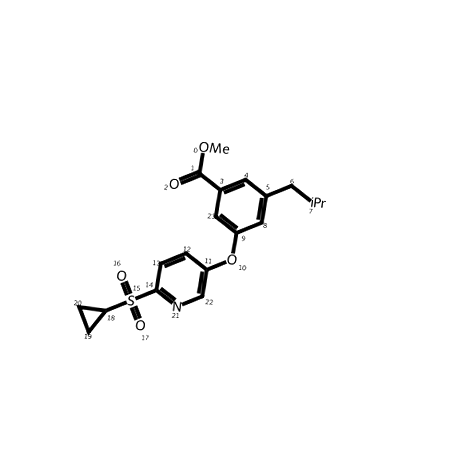 COC(=O)c1cc(CC(C)C)cc(Oc2ccc(S(=O)(=O)C3CC3)nc2)c1